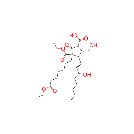 CCCCCC(O)/C=C/C1C(CO)C(C(=O)O)C(=O)C1(CCCCCCC(=O)OCC)C(=O)OCC